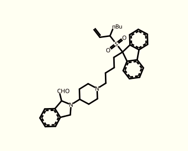 C=CC(CCCC)S(=O)(=O)C1(CCCCN2CCC(N3Cc4ccccc4C3C=O)CC2)c2ccccc2-c2ccccc21